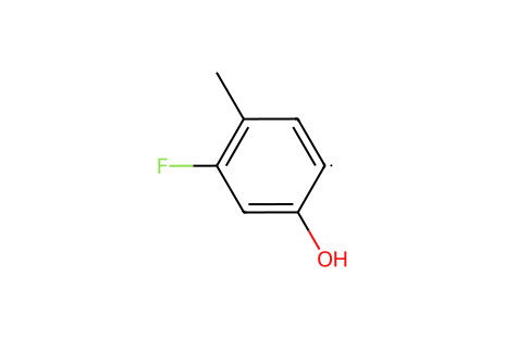 Cc1c[c]c(O)cc1F